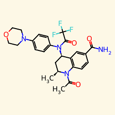 CC(=O)N1c2ccc(C(N)=O)cc2[C@H](N(C(=O)C(F)(F)F)c2ccc(N3CCOCC3)cc2)C[C@@H]1C